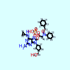 C[C@@H](C(=O)OP(=O)(O)O)N(OCc1ccccc1)c1ccccc1.Nc1nc(NC2CC2)c2ncn([C@H]3C=C[C@@H](CO)C3)c2n1